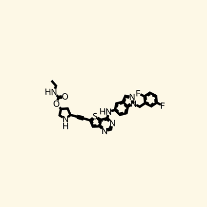 CCNC(=O)OC1CNC(C#Cc2cc3ncnc(Nc4ccc5c(cnn5Cc5cc(F)ccc5F)c4)c3s2)C1